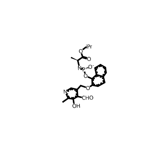 Cc1ncc(COc2ccc3ccccc3c2O[P+]([O-])=N[C@@H](C)C(=O)OC(C)C)c(C=O)c1O